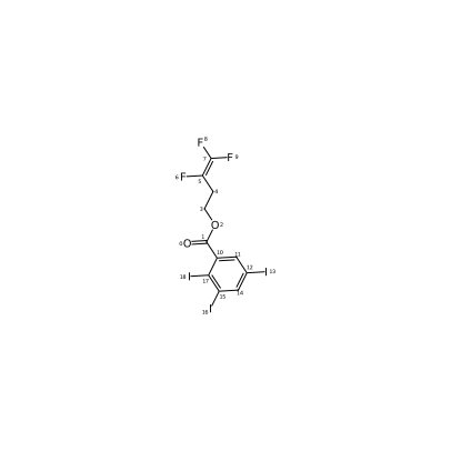 O=C(OCCC(F)=C(F)F)c1cc(I)cc(I)c1I